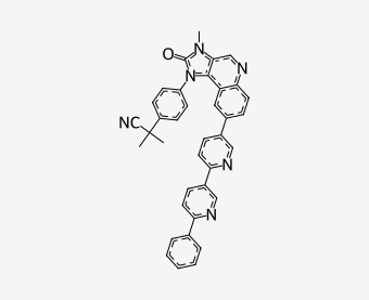 Cn1c(=O)n(-c2ccc(C(C)(C)C#N)cc2)c2c3cc(-c4ccc(-c5ccc(-c6ccccc6)nc5)nc4)ccc3ncc21